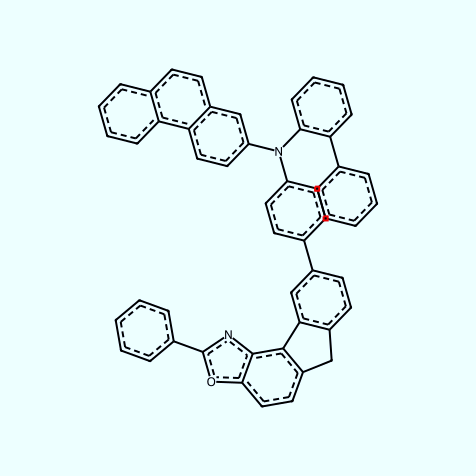 c1ccc(-c2nc3c4c(ccc3o2)Cc2ccc(-c3ccc(N(c5ccc6c(ccc7ccccc76)c5)c5ccccc5-c5ccccc5)cc3)cc2-4)cc1